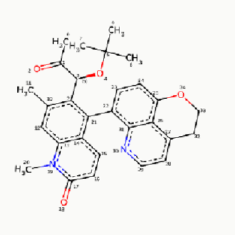 CC(=O)[C@@H](OC(C)(C)C)c1c(C)cc2c(ccc(=O)n2C)c1-c1ccc2c3c(ccnc13)CCO2